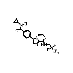 O=C(c1ccc(-c2cnc3c(NCC(F)(F)C(F)(F)F)nccn23)cc1)N(Cl)C1CC1